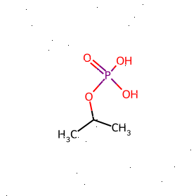 C[C](C)OP(=O)(O)O